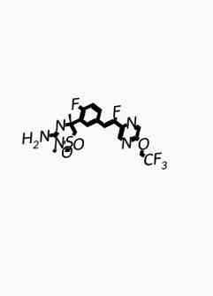 CN1C(N)=N[C@](C)(c2cc(/C=C(\F)c3cnc(OCC(F)(F)F)cn3)ccc2F)CS1(=O)=O